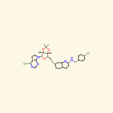 CC1(C)O[C@@H]2[C@H](O1)[C@@H](CCc1ccc3ccc(NCc4ccc(Cl)cc4)nc3c1)O[C@H]2n1ccc2c(Cl)ncnc21